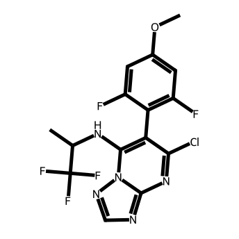 COc1cc(F)c(-c2c(Cl)nc3ncnn3c2NC(C)C(F)(F)F)c(F)c1